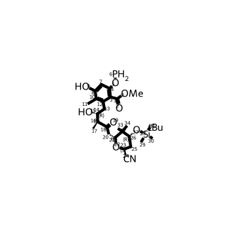 COC(=O)c1c(OP)cc(O)c(C)c1C[C@@H](O)[C@H](C)C(=O)C[C@H]1O[C@H](C#N)C[C@@H](O[Si](C)(C)C(C)(C)C)C1(C)C